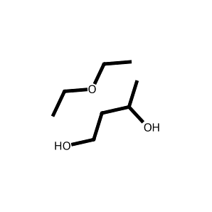 CC(O)CCO.CCOCC